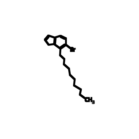 CCCCCCCCCCc1c(Br)ccc2c1CC=C2